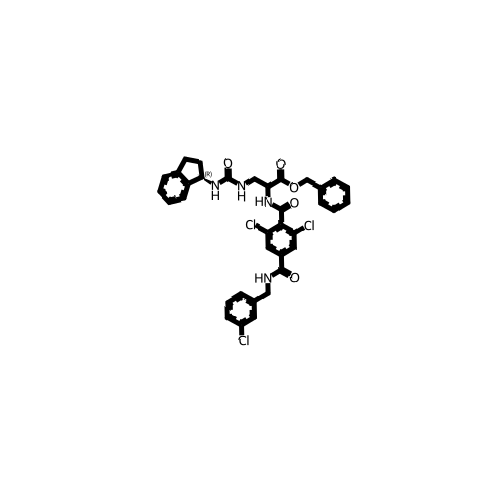 O=C(NCC(NC(=O)c1c(Cl)cc(C(=O)NCc2cccc(Cl)c2)cc1Cl)C(=O)OCc1ccccc1)N[C@@H]1CCc2ccccc21